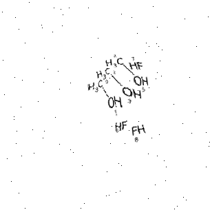 CO.CO.CO.F.F.F